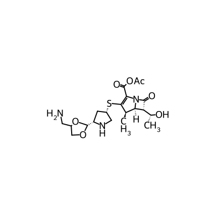 CC(=O)OC(=O)C1=C(S[C@@H]2CN[C@H](C3OCC(CN)O3)C2)[C@H](C)[C@@H]2[C@@H]([C@@H](C)O)C(=O)N12